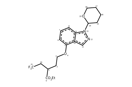 CCOC(=O)C(CCOc1cccc2c1cnn2C1CCCCO1)CC(F)(F)F